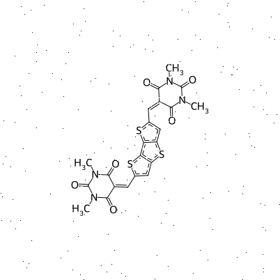 CN1C(=O)C(=Cc2cc3sc4cc(C=C5C(=O)N(C)C(=O)N(C)C5=O)sc4c3s2)C(=O)N(C)C1=O